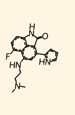 CN(C)CCNc1cc(-c2ccc[nH]2)c2c3c(ccc(F)c13)NC2=O